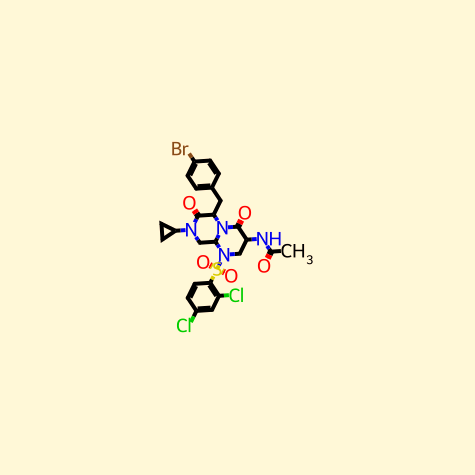 CC(=O)NC1CN(S(=O)(=O)c2ccc(Cl)cc2Cl)C2CN(C3CC3)C(=O)C(Cc3ccc(Br)cc3)N2C1=O